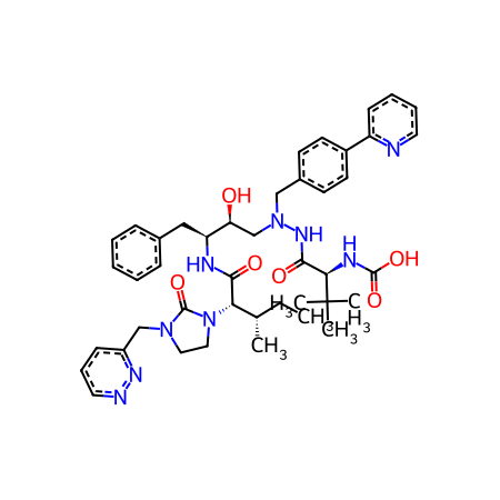 CC[C@H](C)[C@@H](C(=O)N[C@@H](Cc1ccccc1)[C@@H](O)CN(Cc1ccc(-c2ccccn2)cc1)NC(=O)[C@@H](NC(=O)O)C(C)(C)C)N1CCN(Cc2cccnn2)C1=O